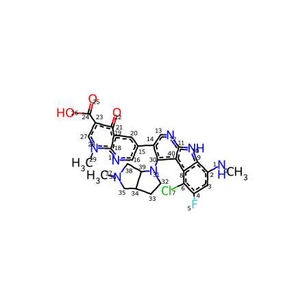 CNc1cc(F)c(Cl)c2c1[nH]c1ncc(-c3cnc4c(c3)c(=O)c(C(=O)O)cn4C)c(N3CCC4CN(C)CC43)c12